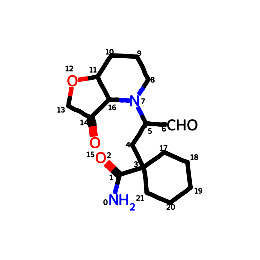 NC(=O)C1(C[C](C=O)N2CCCC3OCC(=O)C32)CCCCC1